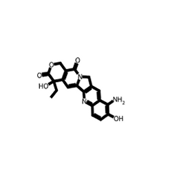 CCC1(O)C(=O)OCc2c1cc1n(c2=O)Cc2cc3c(N)c(O)ccc3nc2-1